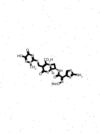 CO/N=C(\C(=O)N[C@@H]1CN2C(C(=O)O)=C(CSc3nc(=O)c(O)nn3C)C(=O)S[C@H]12)c1csc(N)n1